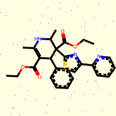 CCOC(=O)C1=C(C)NC(C)C(C(=O)OCC)(c2nc(-c3ccccn3)cs2)C1c1ccccc1